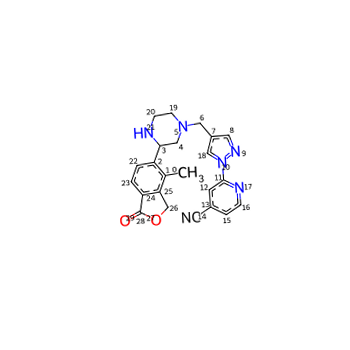 Cc1c(C2CN(Cc3cnn(-c4cc(C#N)ccn4)c3)CCN2)ccc2c1COC2=O